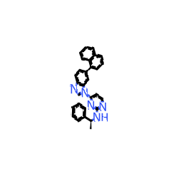 C[C@H](Nc1nccc(-n2cnc3ccc(-c4cccc5ccccc45)cc32)n1)c1ccccc1